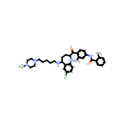 Cc1ccccc1C(=O)Nc1ccc(C(=O)C2CCC(NCCCCCN3CCN(C)CC3)c3cc(Cl)ccc3N2)c(C)c1